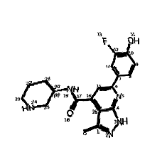 Cc1n[nH]c2nc(-c3ccc(O)c(F)c3)cc(C(=O)N[C@@H]3CCCNC3)c12